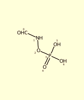 O=CNOP(=O)(O)O